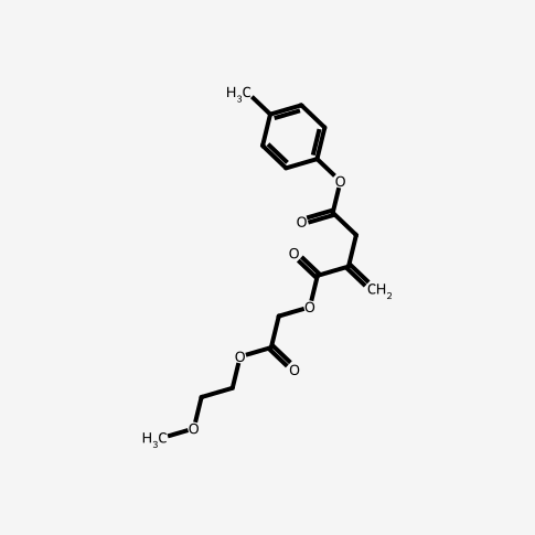 C=C(CC(=O)Oc1ccc(C)cc1)C(=O)OCC(=O)OCCOC